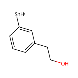 OCCc1ccc[c]([SnH])c1